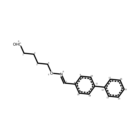 O=CCCCCON=Cc1ccc(-c2ccccc2)cc1